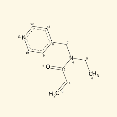 C=CC(=O)N(CC)Cc1ccncc1